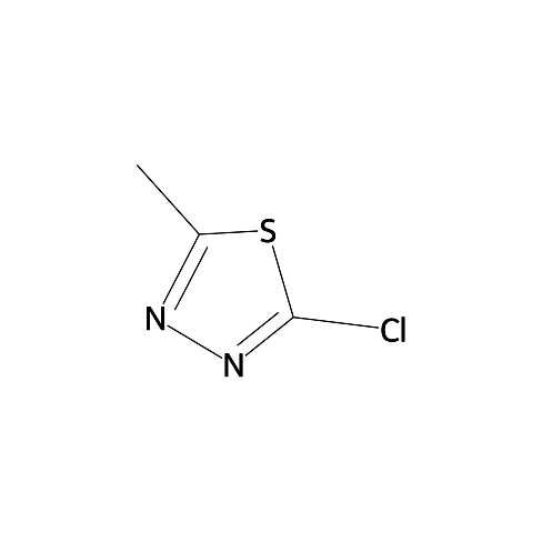 Cc1nnc(Cl)s1